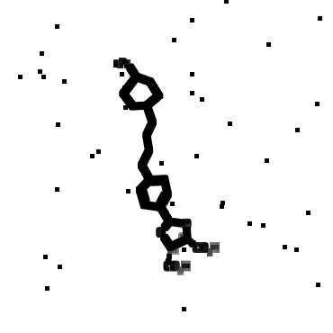 CCCC1CCC(CCCCc2ccc(C3O[C@@H](C(=O)O)[C@H](C(=O)O)O3)cc2)CC1